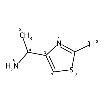 [2H]c1nc(C(C)N)cs1